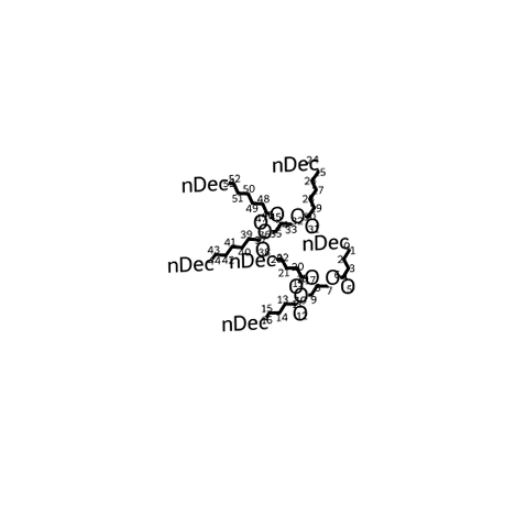 CCCCCCCCCCCCCC(=O)OCC(COC(=O)CCCCCCCCCCCCC)OC(=O)CCCCCCCCCCCCC.CCCCCCCCCCCCCCCC(=O)OCC(COC(=O)CCCCCCCCCCCCCCC)OC(=O)CCCCCCCCCCCCCCC